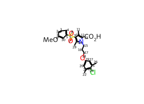 COc1cccc(S(=O)(=O)c2c(C)c(C(=O)O)n(CCCOc3cc(C)c(Cl)c(C)c3)c2C)c1